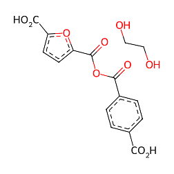 O=C(O)c1ccc(C(=O)OC(=O)c2ccc(C(=O)O)o2)cc1.OCCO